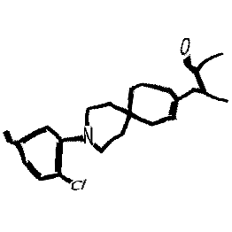 CC(=O)C(C)C1=CCC2(CC1)CCN(c1cc(C)ccc1Cl)CC2